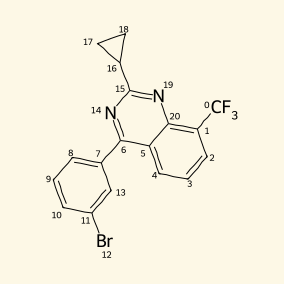 FC(F)(F)c1cccc2c(-c3cccc(Br)c3)nc(C3CC3)nc12